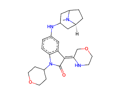 CN1C2CC[C@H]1CC(Nc1ccc3c(c1)/C(=C1\COCCN1)C(=O)N3C1CCOCC1)C2